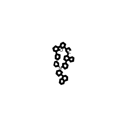 C1=CC(N(c2cccc(-c3cccc4ccccc34)c2)c2cccc(-c3ccc(-c4cccc(-c5cccc6c5oc5c(-c7ccccc7)cccc56)c4)c4ccccc34)c2)=CCC1